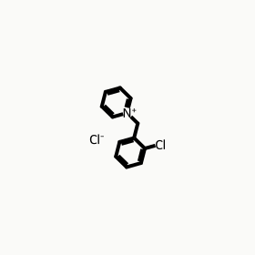 Clc1ccccc1C[n+]1ccccc1.[Cl-]